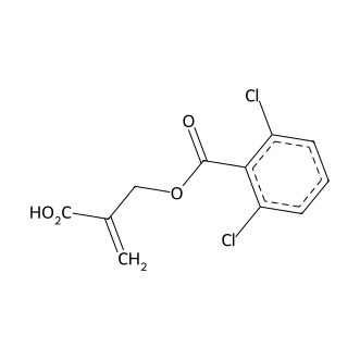 C=C(COC(=O)c1c(Cl)cccc1Cl)C(=O)O